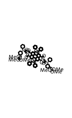 CO[Si](CC1CCCC(N(C(=O)CN2C(=O)c3cc(Oc4ccccc4)c4c5c(Oc6ccccc6)cc6c7c(cc(Oc8ccccc8)c(c8c(Oc9ccccc9)cc(c3c48)C2=O)c75)C(=O)N(CC(=O)N(C2CCCCC2)C2CCCC(C[Si](OC)(OC)OC)C2)C6=O)C2CCCCC2)C1)(OC)OC